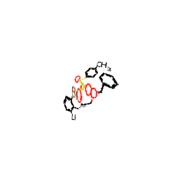 [Li][c]1cccc(Br)c1C[C@@H](COCc1ccccc1)OS(=O)(=O)c1ccc(C)cc1